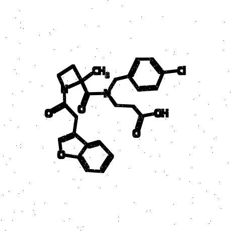 CC1(C(=O)N(CCC(=O)O)Cc2ccc(Cl)cc2)CCN1C(=O)Cc1coc2ccccc12